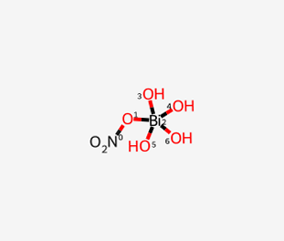 O=[N+]([O-])[O][Bi]([OH])([OH])([OH])[OH]